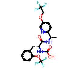 C[C@@H](NC(=O)[C@@H](Cc1ccccc1OC(F)(F)F)NC(=O)O)c1ccc(OCC(F)(F)F)cn1